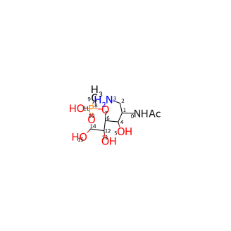 CC(=O)NC(CN)C(O)C(OP(C)(=O)O)C(O)CO